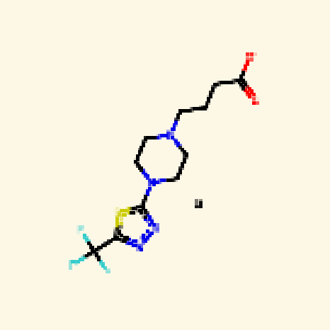 O=C([O-])CCCN1CCN(c2nnc(C(F)(F)F)s2)CC1.[Li+]